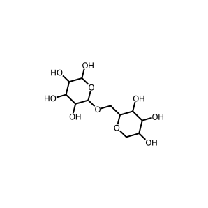 OC1COC(COC2OC(O)C(O)C(O)C2O)C(O)C1O